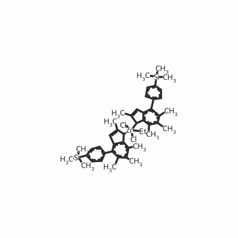 C[CH2][Zr]([Cl])([Cl])([CH]1C(C)=Cc2c(-c3ccc([Si](C)(C)C)cc3)c(C)c(C)c(C)c21)[CH]1C(C)=Cc2c(-c3ccc([Si](C)(C)C)cc3)c(C)c(C)c(C)c21